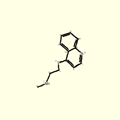 CNCCSc1ccnc2ccccc12